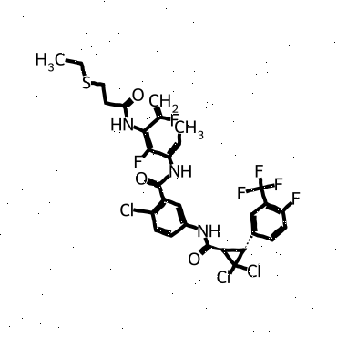 C=C(F)/C(NC(=O)CCSCC)=C(F)\C(=C/C)NC(=O)c1cc(NC(=O)[C@H]2[C@H](c3ccc(F)c(C(F)(F)F)c3)C2(Cl)Cl)ccc1Cl